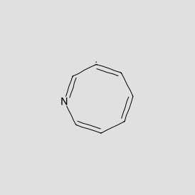 [C]1=CC=CC=CN=C1